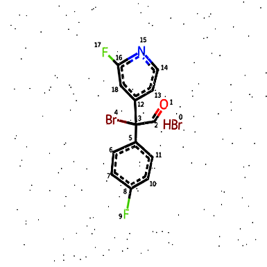 Br.O=CC(Br)(c1ccc(F)cc1)c1ccnc(F)c1